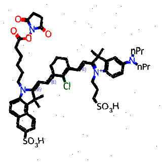 CCCN(CCC)c1ccc2c(c1)C(C)(C)C(/C=C/C1=C(Cl)C(=C/C=C3/N(CCCCCC(=O)ON4C(=O)CCC4=O)c4ccc5cc(S(=O)(=O)O)ccc5c4C3(C)C)/CCC1)=[N+]2CCCS(=O)(=O)O